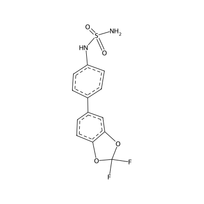 NS(=O)(=O)Nc1ccc(-c2ccc3c(c2)OC(F)(F)O3)cc1